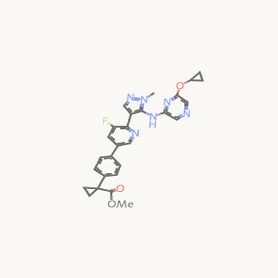 COC(=O)C1(c2ccc(-c3cnc(-c4cnn(C)c4Nc4cncc(OC5CC5)n4)c(F)c3)cc2)CC1